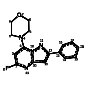 Fc1cc(N2CCOCC2)n2nc(-c3ccccc3)cc2n1